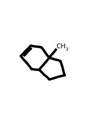 CC12CC=CCC1CCC2